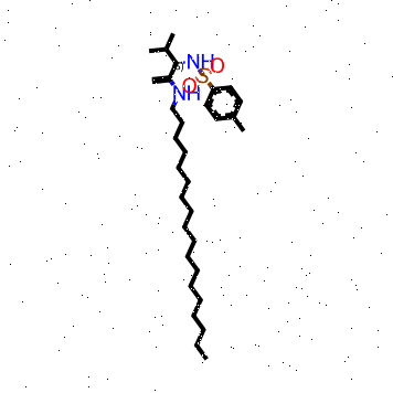 C=C(NCCCCCCCCCCCCCCCCCC)[C@@H](NS(=O)(=O)c1ccc(C)cc1)C(C)C